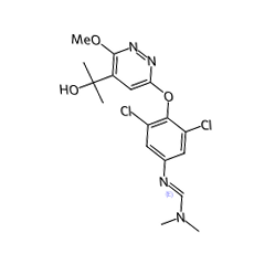 COc1nnc(Oc2c(Cl)cc(/N=C/N(C)C)cc2Cl)cc1C(C)(C)O